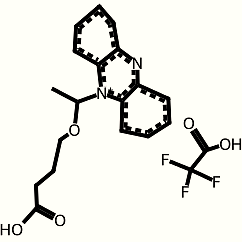 CC(OCCCC(=O)O)[n+]1c2ccccc2nc2ccccc21.O=C(O)C(F)(F)F